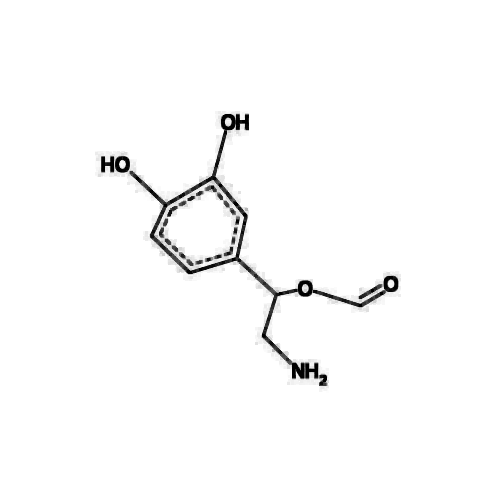 NCC(OC=O)c1ccc(O)c(O)c1